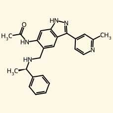 CC(=O)Nc1cc2[nH]nc(-c3ccnc(C)c3)c2cc1CN[C@H](C)c1ccccc1